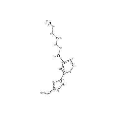 CCOC(=O)c1cnn(-c2ccnc(OCCOCCN)c2)c1